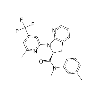 Cc1cccc(N(C)C(=O)[C@@H]2Cc3cccnc3N2c2cc(C(F)(F)F)cc(C)n2)c1